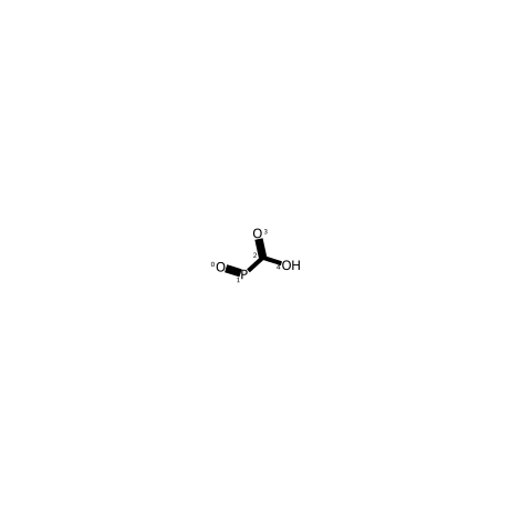 O=PC(=O)O